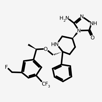 C[C@@H](OC[C@@]1(c2ccccc2)CC[C@H](n2c(N)n[nH]c2=O)CN1)c1cc(CF)cc(C(F)(F)F)c1